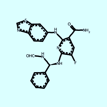 NC(=O)c1cc(F)c(N[C@H](NC=O)c2ccccc2)nc1Nc1ccc2ncsc2c1